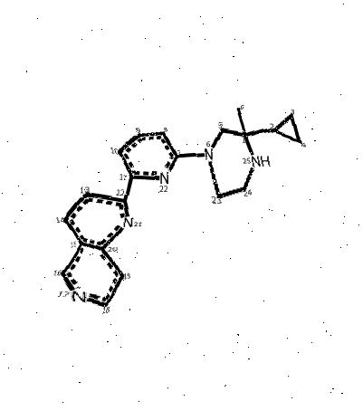 CC1(C2CC2)CN(c2cccc(-c3ccc4cnccc4n3)n2)CCN1